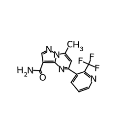 Cc1cc(-c2cccnc2C(F)(F)F)nc2c(C(N)=O)cnn12